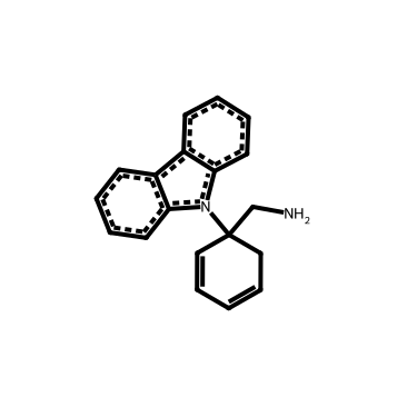 NCC1(n2c3ccccc3c3ccccc32)C=CC=CC1